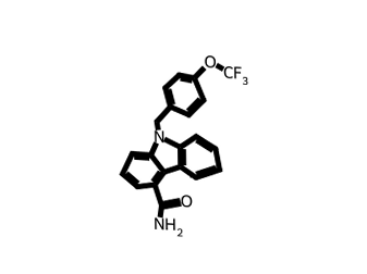 NC(=O)c1cccc2c1c1[c]cccc1n2Cc1ccc(OC(F)(F)F)cc1